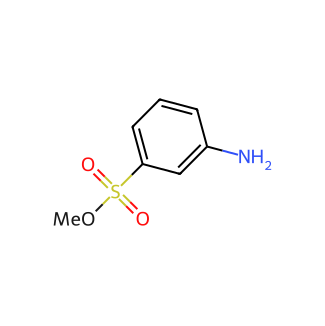 COS(=O)(=O)c1cccc(N)c1